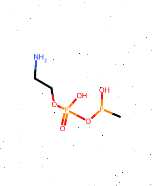 CP(O)OP(=O)(O)OCCN